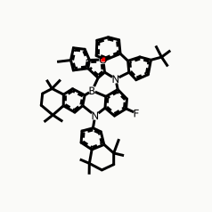 Cc1ccc2oc3c(c2c1)B1c2cc4c(cc2N(c2ccc5c(c2)C(C)(C)CCC5(C)C)c2cc(F)cc(c21)N3c1ccc(C(C)(C)C)cc1-c1ccccc1)C(C)(C)CCC4(C)C